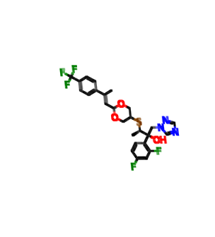 C/C(=C\C1OCC(S[C@H](C)[C@](O)(Cn2cncn2)c2ccc(F)cc2F)CO1)c1ccc(C(F)(F)F)cc1